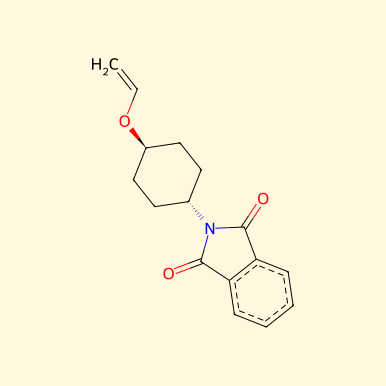 C=CO[C@H]1CC[C@H](N2C(=O)c3ccccc3C2=O)CC1